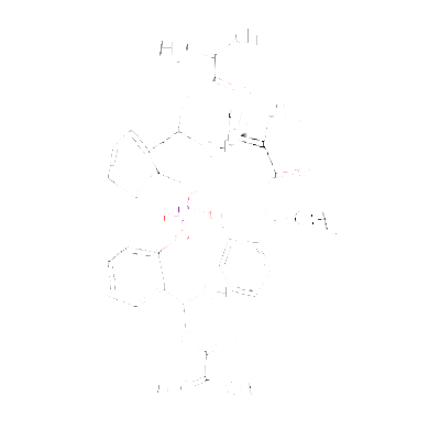 C=C(C)C(=O)OC(C)c1ccccc1OP(=O)(Oc1ccccc1C(C)OC(=O)C(=C)C)Oc1ccccc1C(C)OC(=O)C(=C)C